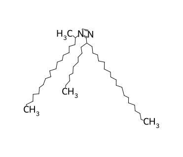 CCCCCCCCCCCCCCCCCCCC(CCCCCCCCCC)c1nccn1C(C)CCCCCCCCCCCCCCCCC